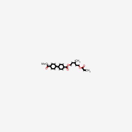 C=CC(=O)OCCC(C)CCOC(=O)C1CCC(C2CCC(C(=O)OC)CC2)CC1